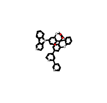 c1cncc(-c2cc(-c3ccc4c(c3)Oc3ccccc3C43c4ccccc4Oc4cc(-n5c6ccccc6c6cnccc65)ccc43)ccn2)c1